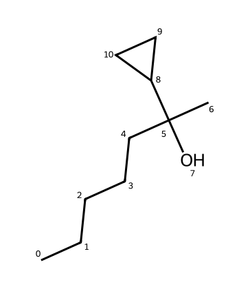 CCCCCC(C)(O)C1CC1